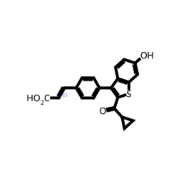 O=C(O)/C=C/c1ccc(-c2c(C(=O)C3CC3)sc3cc(O)ccc23)cc1